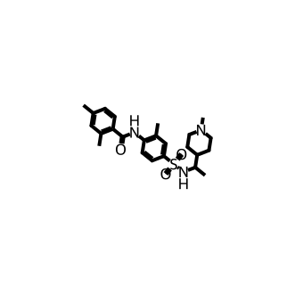 Cc1ccc(C(=O)Nc2ccc(S(=O)(=O)NC(C)C3CCN(C)CC3)cc2C)c(C)c1